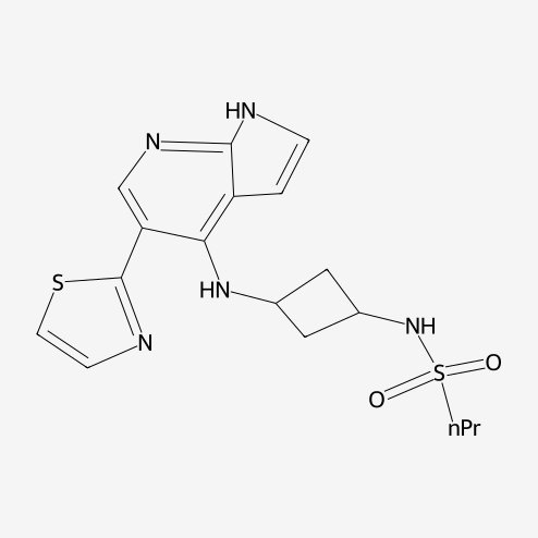 CCCS(=O)(=O)NC1CC(Nc2c(-c3nccs3)cnc3[nH]ccc23)C1